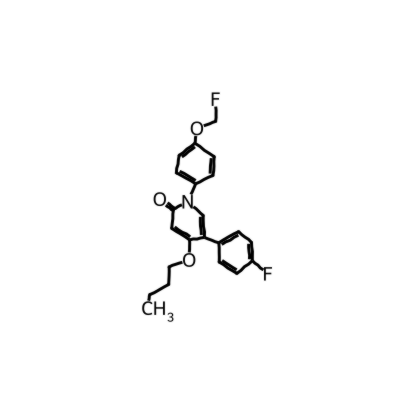 CCCCOc1cc(=O)n(-c2ccc(OCF)cc2)cc1-c1ccc(F)cc1